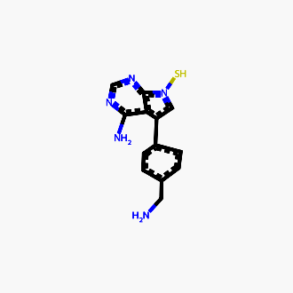 NCc1ccc(-c2cn(S)c3ncnc(N)c23)cc1